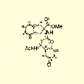 COC(=O)C1(NC(=O)CC(NC(C)=O)c2cccc(Cl)c2)Cc2ccccc2C1